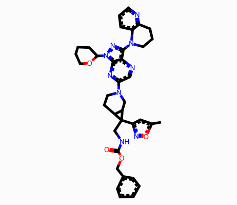 Cc1cc(C2(CNC(=O)OCc3ccccc3)C3CCN(c4cnc5c(N6CCCc7ncccc76)nn(C6CCCCO6)c5n4)CC32)no1